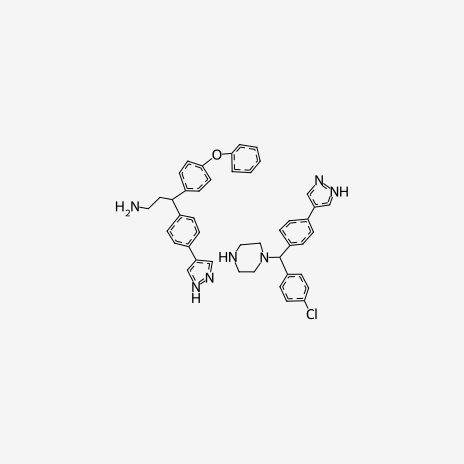 Clc1ccc(C(c2ccc(-c3cn[nH]c3)cc2)N2CCNCC2)cc1.NCCC(c1ccc(Oc2ccccc2)cc1)c1ccc(-c2cn[nH]c2)cc1